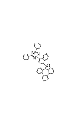 c1ccc(-c2nc(-c3ccccc3)nc(-c3ccc(-c4oc5cccc6c5c4-c4ccccc4-c4ccccc4-6)c4ccccc34)n2)cc1